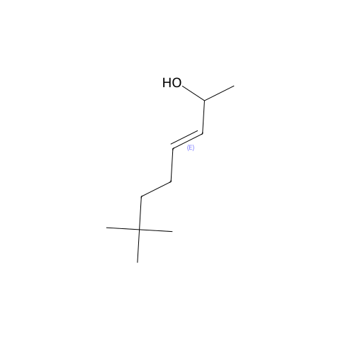 CC(O)/C=C/CCC(C)(C)C